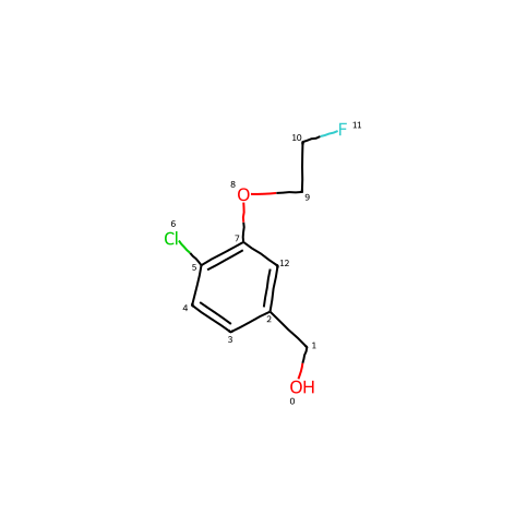 OCc1ccc(Cl)c(OCCF)c1